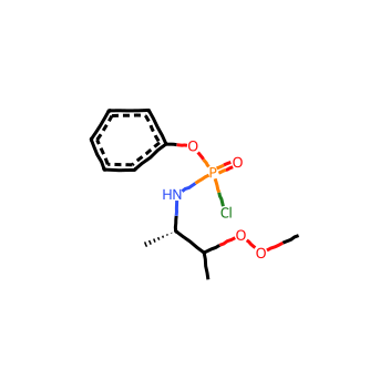 COOC(C)[C@H](C)NP(=O)(Cl)Oc1ccccc1